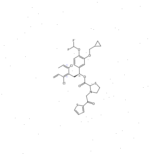 C=C/C(Cl)=C(C[C@H](OC(=O)C1SCCN1CC(=O)c1cccs1)c1ccc(OC(F)F)c(OCC2CC2)c1)\C(Cl)=C/C